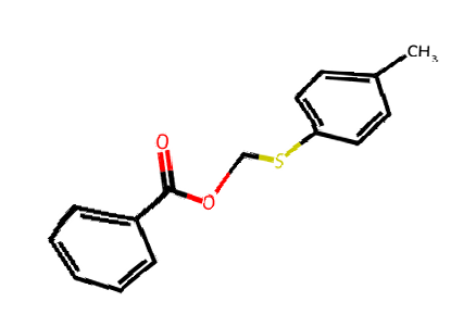 Cc1ccc(SCOC(=O)c2ccccc2)cc1